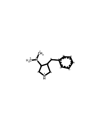 CN(C)C1CNCC1Cc1ccccc1